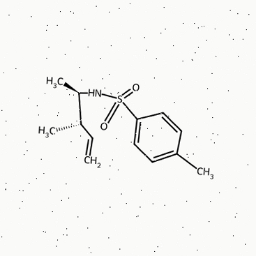 C=C[C@H](C)[C@@H](C)NS(=O)(=O)c1ccc(C)cc1